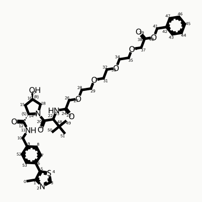 Cc1ncsc1-c1ccc(CNC(=O)[C@@H]2C[C@@H](O)CN2C(=O)C(NC(=O)COCCOCCOCCOCC(=O)OCc2ccccc2)C(C)(C)C)cc1